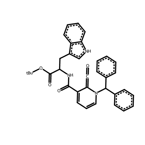 CC(C)(C)OC(=O)C(Cc1c[nH]c2ccccc12)NC(=O)C1=CC=CN(C(c2ccccc2)c2ccccc2)C1=C=O